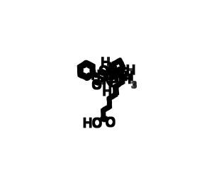 CC1(C)[C@H]2C[C@@H](NS(=O)(=O)c3ccccc3)[C@@H](CC=CCCCC(=O)O)[C@@H]1C2